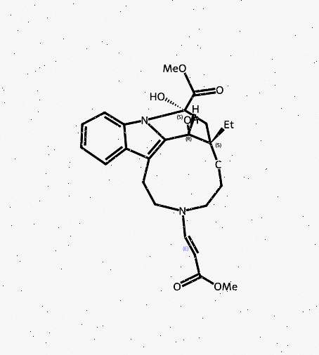 CC[C@]12CCCN(/C=C/C(=O)OC)CCc3c(n(c4ccccc34)[C@@](O)(C(=O)OC)C1)[C@@H]2O